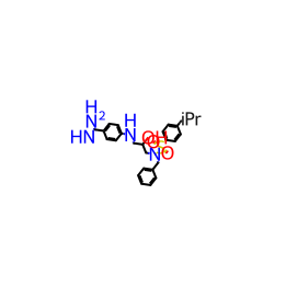 CC(C)c1ccc(S(=O)(=O)N(Cc2ccccc2)CC(O)CNc2ccc(C(=N)N)cc2)cc1